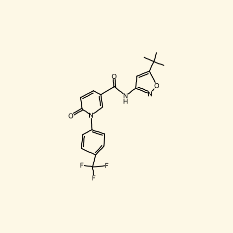 CC(C)(C)c1cc(NC(=O)c2ccc(=O)n(-c3ccc(C(F)(F)F)cc3)c2)no1